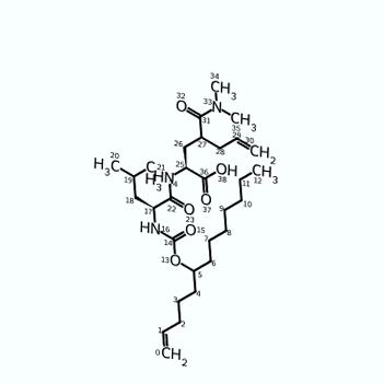 C=CCCCC(CCCCCCC)OC(=O)N[C@@H](CC(C)C)C(=O)N[C@@H](CC(CC=C)C(=O)N(C)C)C(=O)O